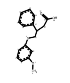 COc1cccc(SCC(CC(=O)O)c2ccccc2)c1